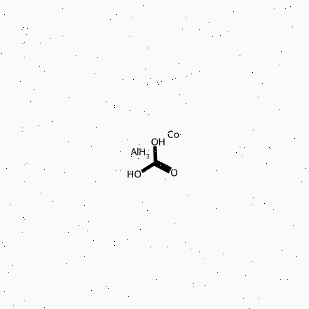 O=C(O)O.[AlH3].[Co]